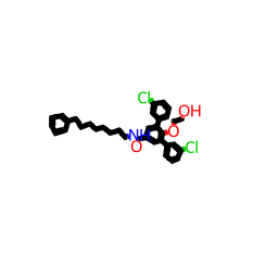 O=C(NCCCCCCCCc1ccccc1)c1cc(-c2cccc(Cl)c2)c(OCCO)c(-c2cccc(Cl)c2)c1